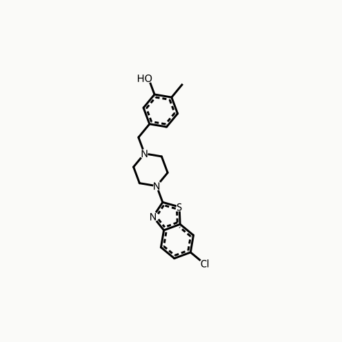 Cc1ccc(CN2CCN(c3nc4ccc(Cl)cc4s3)CC2)cc1O